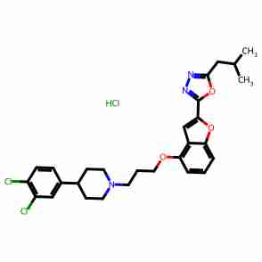 CC(C)Cc1nnc(-c2cc3c(OCCCN4CCC(c5ccc(Cl)c(Cl)c5)CC4)cccc3o2)o1.Cl